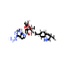 CCc1cnc2cc(CC[C@H]3O[C@@H](n4ccc5c(N)ncnc54)[C@@H]4OC(C)(C)O[C@@H]43)ccc2c1